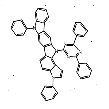 c1ccc(-c2nc(-c3ccccc3)nc(-n3c4cc5c6ccccc6n(-c6ccccc6)c5cc4c4ccc5c(ccn5-c5ccccc5)c43)n2)cc1